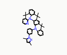 Cc1cc(C)n(-c2cccc(N3c4ccccc4C(C)(C)c4cc5c(cc43)N3c4ncccc4C(C)(C)c4cccc(c43)C5(C)C)c2)n1